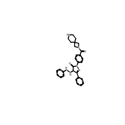 O=C(c1ccc(N2N=C(c3ccccc3)C(NNc3ccccc3)C2=O)cc1)N1CC2(CCNCC2)C1